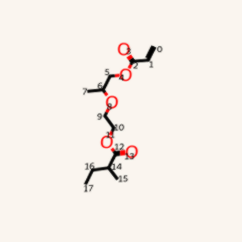 C=CC(=O)OCC(C)OCCOC(=O)C(C)CC